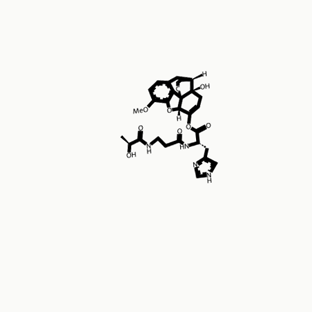 COc1ccc2c3c1O[C@H]1C(OC(=O)[C@H](Cc4c[nH]cn4)NC(=O)CCNC(=O)[C@H](C)O)=CC[C@@]4(O)[C@H](CCC[C@]314)C2